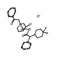 O=C(C[N+]12CCC(CC1)[C@@H](OC(=O)C(c1ccccc1)N1CCC(F)(F)CC1)C2)c1ccccc1.[Cl-]